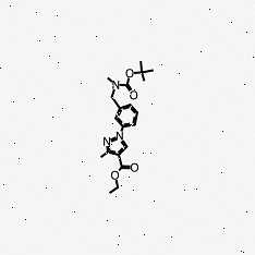 CCOC(=O)c1cn(-c2cccc(CN(C)C(=O)OC(C)(C)C)c2)nc1C